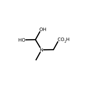 CN(CC(=O)O)C(O)O